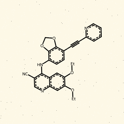 CCOc1cc2ncc(C#N)c(Nc3ccc(C#Cc4ccccn4)c4c3OCO4)c2cc1OCC